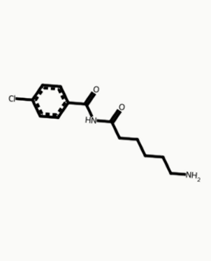 NCCCCCC(=O)NC(=O)c1ccc(Cl)cc1